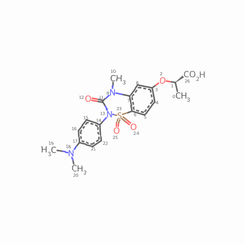 C[C@@H](Oc1ccc2c(c1)N(C)C(=O)N(c1ccc(N(C)C)cc1)S2(=O)=O)C(=O)O